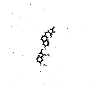 COc1ccc2nc(COc3ccc4cc(CC5SC(=O)NC5=O)ccc4c3)n(C)c2c1